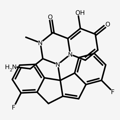 CN1C(=O)c2c(O)c(=O)ccn2N(C23C(=Cc4c(F)cccc42)Cc2c(F)cccc23)C1CN